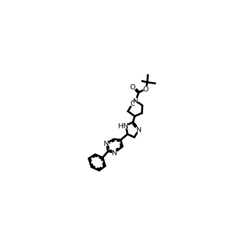 CC(C)(C)OC(=O)N1CCC(C2=NCC(c3cnc(-c4ccccc4)nc3)N2)CC1